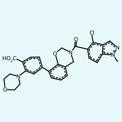 Cn1ncc2c(Cl)c(C(=O)N3COc4c(cccc4-c4ccc(C(=O)O)c(N5CCOCC5)c4)C3)ccc21